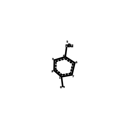 [CH]c1ccc(CCCC)cc1